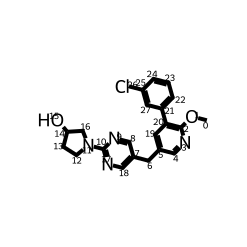 COc1ncc(Cc2cnc(N3CCC(O)C3)nc2)cc1-c1cccc(Cl)c1